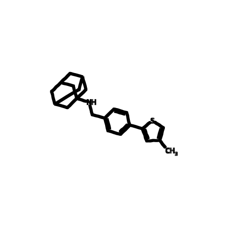 Cc1csc(-c2ccc(CNC34CC5CC(CC(C5)C3)C4)cc2)c1